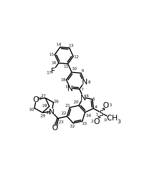 CS(=O)(=O)c1cn(-c2ncc(-c3ccccc3F)cn2)c2cc(C(=O)N3CC4CC3CO4)ccc12